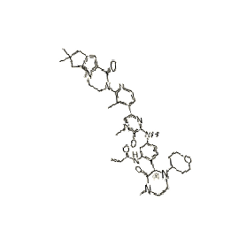 C=CC(=O)Nc1cc(Nc2nc(-c3ccnc(N4CCn5c(cc6c5CC(C)(C)C6)C4=O)c3C)cn(C)c2=O)ccc1[C@@H]1C(=O)N(C)CCN1C1CCOCC1